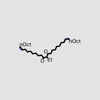 [CH2]CC(C(=O)CCCCCCC/C=C\CCCCCCCC)C(=O)CCCCCCC/C=C\CCCCCCCC